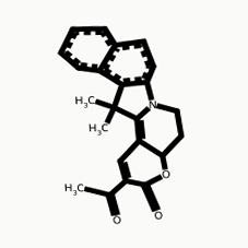 CC(=O)C1=CC2=C3N(CCC2OC1=O)c1ccc2ccccc2c1C3(C)C